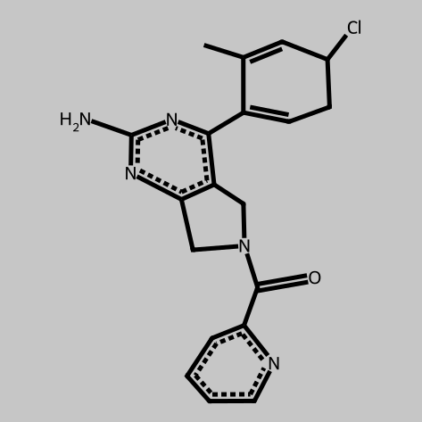 CC1=CC(Cl)CC=C1c1nc(N)nc2c1CN(C(=O)c1ccccn1)C2